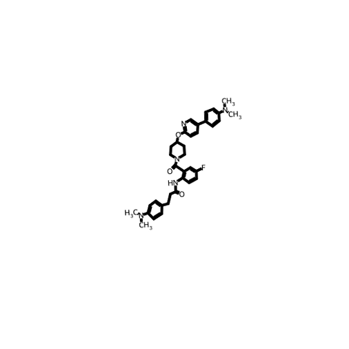 CN(C)c1ccc(CCC(=O)Nc2ccc(F)cc2C(=O)N2CCC(Oc3ccc(-c4ccc(N(C)C)cc4)cn3)CC2)cc1